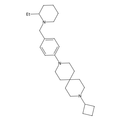 CCC1CCCCN1Cc1ccc(N2CCC3(CC2)CCN(C2CCC2)CC3)cc1